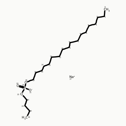 CCCCCCCCCCCCCCCCCCOP(=O)([O-])OCCCC.[Na+]